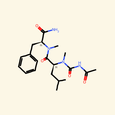 CC(=O)NC(=O)N(C)[C@@H](CC(C)C)C(=O)N(C)[C@@H](Cc1ccccc1)C(N)=O